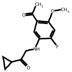 COc1cc(F)c(NCC(=O)C2CC2)cc1C(C)=O